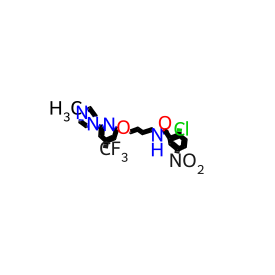 CN1CCN(c2cc(C(F)(F)F)cc(OCCCCNC(=O)c3cc([N+](=O)[O-])ccc3Cl)n2)CC1